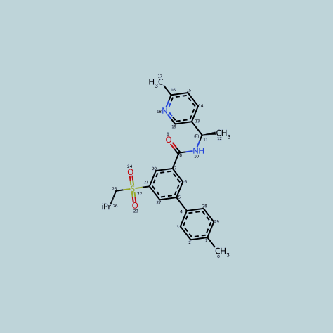 Cc1ccc(-c2cc(C(=O)N[C@H](C)c3ccc(C)nc3)cc(S(=O)(=O)CC(C)C)c2)cc1